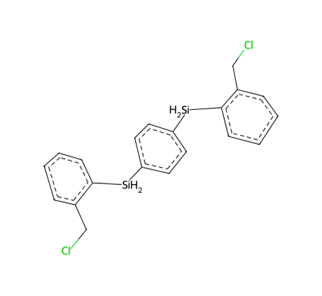 ClCc1ccccc1[SiH2]c1ccc([SiH2]c2ccccc2CCl)cc1